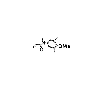 C=CC(=O)N(C)c1cc(C)c(OC)c(C)c1